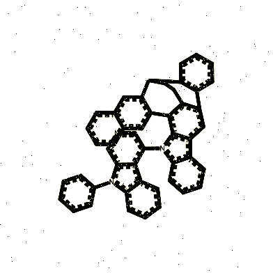 c1ccc(-n2c3ccccc3c3c(-n4c5ccccc5c5cc6c7c(c54)-c4cc5ccccc5cc4C(CC7)c4ccccc4-6)cncc32)cc1